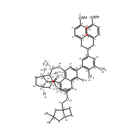 COc1ccc(CN(Cc2ccc(OC)cc2)c2cc(-c3nc4c5c(nc(OCC67CCN6CC(F)(F)C7)nc5c3F)N3C[C@H]5CC[C@@H]([C@H]3[C@H](C(F)(F)F)O4)N5C(=O)OC(C)(C)C)c(C(F)(F)F)c(C)n2)cc1